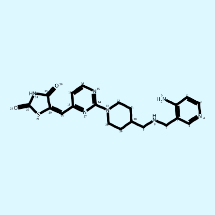 Nc1ccncc1CNCC1CCN(c2nccc(C=C3SC(=O)NC3=O)n2)CC1